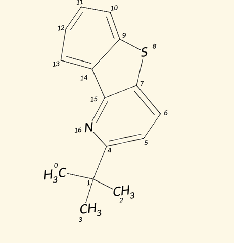 CC(C)(C)c1ccc2sc3ccccc3c2n1